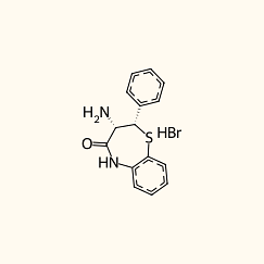 Br.N[C@H]1C(=O)Nc2ccccc2S[C@H]1c1ccccc1